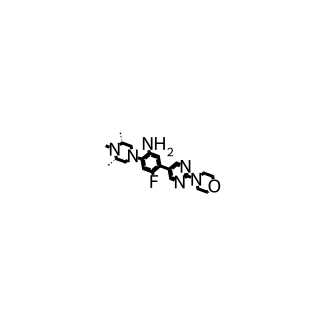 C[C@@H]1CN(c2cc(F)c(-c3cnc(N4CCOCC4)nc3)cc2N)C[C@H](C)N1C